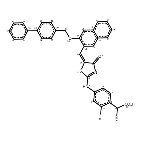 O=C1N=C(Nc2ccc(C(Br)C(=O)O)c(F)c2)S/C1=C/c1cc2ccccc2cc1OCc1ccc(-c2ccccc2)cc1